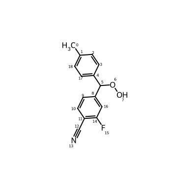 Cc1ccc(C(OO)c2ccc(C#N)c(F)c2)cc1